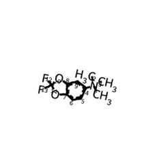 C[N+](C)(C)c1ccc2c(c1)OC(F)(F)O2